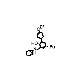 CC(C)(C)c1cc(CNC2CC3CCC2C3)c(O)c(-c2ccc(OC(F)(F)F)cc2)c1